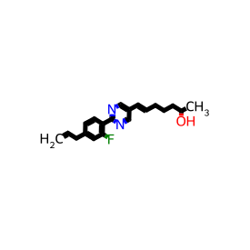 C=CCc1ccc(-c2ncc(C=CCCCC(C)O)cn2)c(F)c1